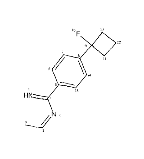 C/C=N\C(=N)c1ccc(C2(F)CCC2)cc1